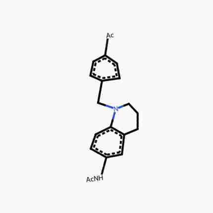 CC(=O)Nc1ccc2c(c1)CCCN2Cc1ccc(C(C)=O)cc1